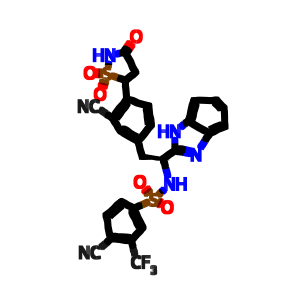 N#Cc1cc(C[C@H](NS(=O)(=O)c2ccc(C#N)c(C(F)(F)F)c2)c2nc3ccccc3[nH]2)ccc1C1CC(=O)NS1(=O)=O